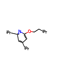 CC(C)CCOc1cc(C(C)C)cc(C(C)C)n1